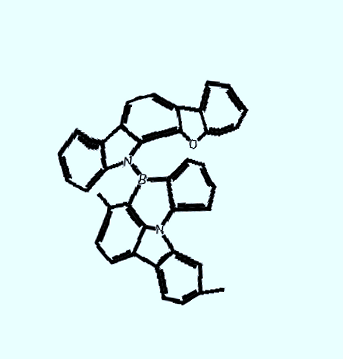 Cc1ccc2c3ccc(C)c4c3n(c2c1)-c1ccccc1B4n1c2ccccc2c2ccc3c4ccccc4oc3c21